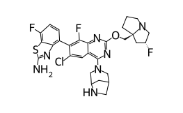 Nc1nc2c(-c3c(Cl)cc4c(N5CC6CNC(C6)C5)nc(OC[C@@]56CCCN5C[C@H](F)C6)nc4c3F)ccc(F)c2s1